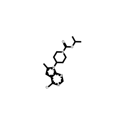 Cc1cc2c(Cl)ncnc2n1C1CCN(C(=O)OC(C)C)CC1